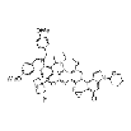 COc1ccc(CN(Cc2ccc(OC)cc2)c2ncc(F)cc2[C@@H](C)N2c3nc(OCC45CCN4C[C@H](F)C5)nc4c(F)c(-c5c(C6CC6)c(Cl)cc6c5cnn6C5CCCCO5)nc(c34)OC[C@@H]2C)cc1